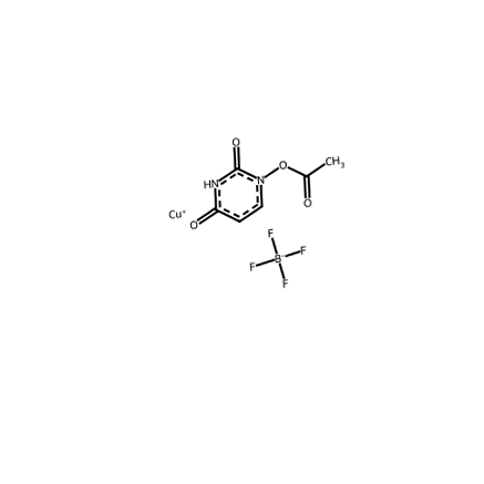 CC(=O)On1ccc(=O)[nH]c1=O.F[B-](F)(F)F.[Cu+]